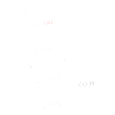 CC(O)Cc1ccc2c(C(=O)O)[c]ccc2c1